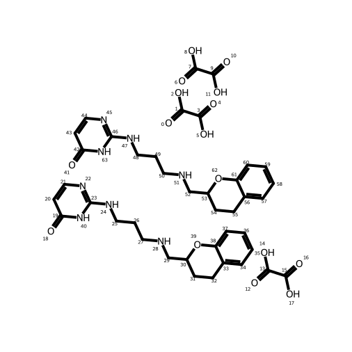 O=C(O)C(=O)O.O=C(O)C(=O)O.O=C(O)C(=O)O.O=c1ccnc(NCCCNCC2CCc3ccccc3O2)[nH]1.O=c1ccnc(NCCCNCC2CCc3ccccc3O2)[nH]1